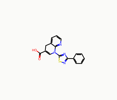 O=C(O)C1=CN(c2nc(-c3ccccc3)ns2)c2ncccc2C1